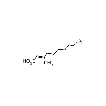 C/C(=C\C(=O)O)CCCCCCC(C)C